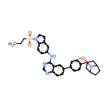 CCCS(=O)(=O)n1ccc2cc(Nc3ncnc4ccc(-c5ccc(CN6C7CCC6CC(O)C7)cc5)cc34)ccc21